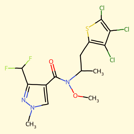 CON(C(=O)c1cn(C)nc1C(F)F)C(C)Cc1sc(Cl)c(Cl)c1Cl